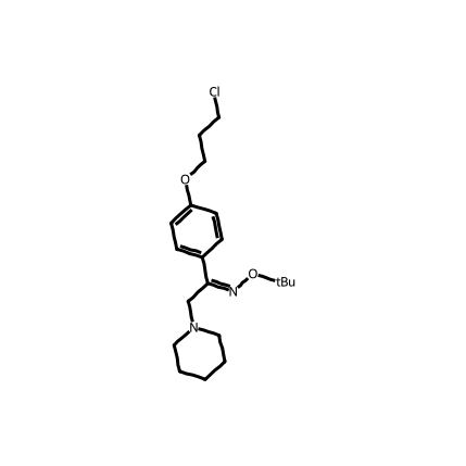 CC(C)(C)ON=C(CN1CCCCC1)c1ccc(OCCCCl)cc1